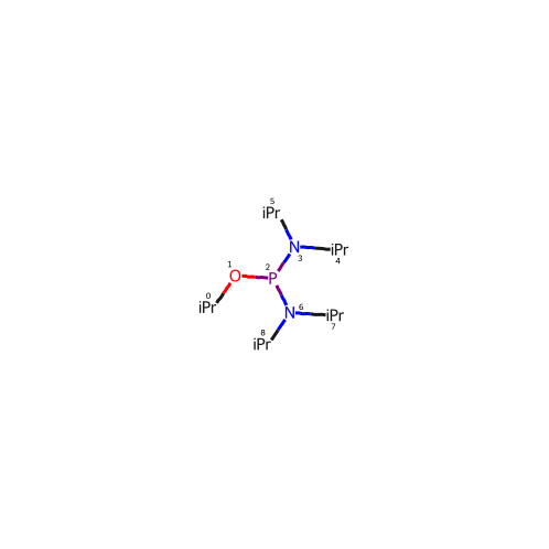 CC(C)OP(N(C(C)C)C(C)C)N(C(C)C)C(C)C